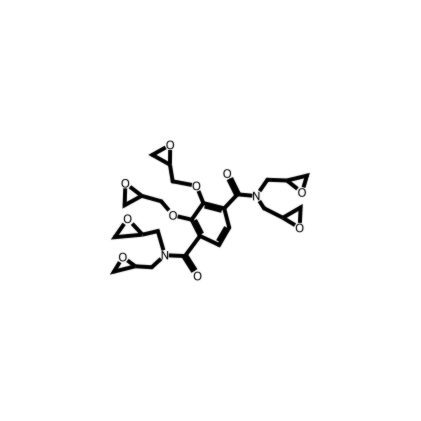 O=C(c1ccc(C(=O)N(CC2CO2)CC2CO2)c(OCC2CO2)c1OCC1CO1)N(CC1CO1)CC1CO1